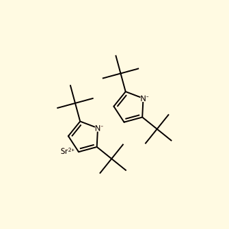 CC(C)(C)c1ccc(C(C)(C)C)[n-]1.CC(C)(C)c1ccc(C(C)(C)C)[n-]1.[Sr+2]